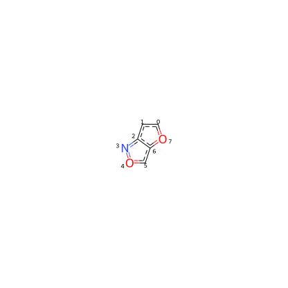 c1cc2nocc2o1